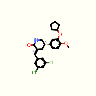 COc1ccc([C@H]2CNC(=O)/C(=C/c3cc(Cl)cc(Cl)c3)C2)cc1OC1CCCC1